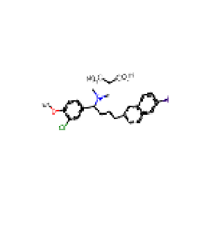 CCOc1ccc(C(CCCc2ccc3cc(I)ccc3c2)N(C)C)cc1Cl.O=C(O)CC(=O)O